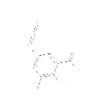 Cc1cc(N=[N+]=[N-])cc(C(=O)O)c1O